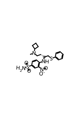 CN(CC[C@H](CSc1ccccc1)Nc1ccc(S(N)(=O)=O)cc1[N+](=O)[O-])C1CCC1